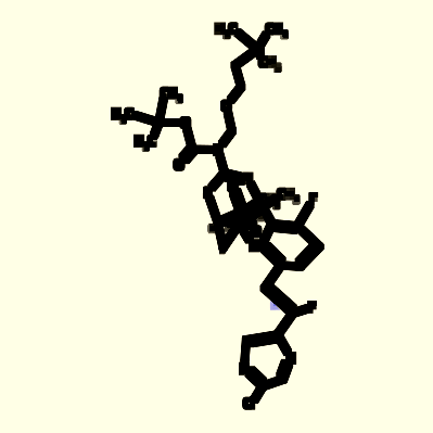 CC(C)(C)OC(=O)N(COCC[Si](C)(C)C)C1=N[C@](C)(c2cc(/C=C(\F)c3cnc(Cl)cn3)ccc2F)[C@@H]2C[C@]2(S(C)(=O)=O)S1